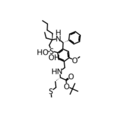 CCCC[C@]1(CC)CS(O)(O)c2cc(CN[C@@H](CCSC)C(=O)OC(C)(C)C)c(OC)cc2[C@@H](c2ccccc2)N1